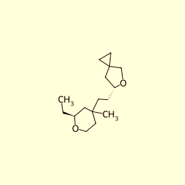 CC[C@H]1CC(C)(CC[C@@H]2CC3(CC3)CO2)CCO1